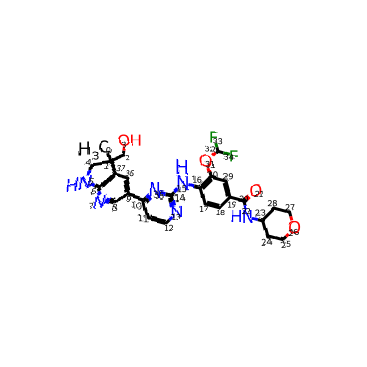 CC1(CO)CNc2ncc(-c3ccnc(Nc4ccc(C(=O)NC5CCOCC5)cc4OC(F)F)n3)cc21